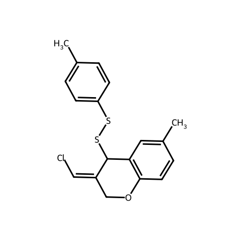 Cc1ccc(SSC2C(=CCl)COc3ccc(C)cc32)cc1